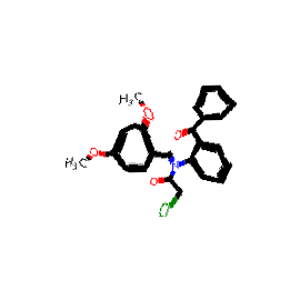 COc1ccc(CN(C(=O)CCl)c2ccccc2C(=O)c2ccccc2)c(OC)c1